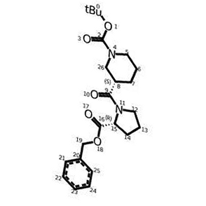 CC(C)(C)OC(=O)N1CCC[C@H](C(=O)N2CCC[C@@H]2C(=O)OCc2ccccc2)C1